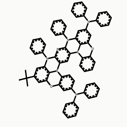 CC(C)(C)c1cc2c3c(c1)N(c1ccccc1)c1nc4c(cc1B3c1ccc(N(c3ccccc3)c3ccccc3)cc1O2)B1c2ccccc2Oc2cc(N(c3ccccc3)c3ccccc3)cc(c21)N4c1ccccc1